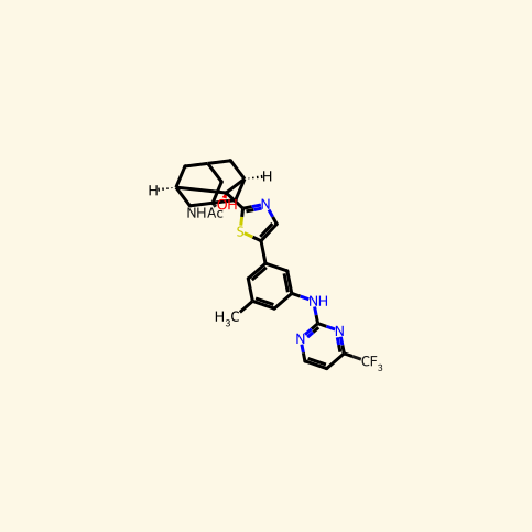 CC(=O)NC12CC3C[C@H](C1)[C@@](O)(c1ncc(-c4cc(C)cc(Nc5nccc(C(F)(F)F)n5)c4)s1)[C@@H](C3)C2